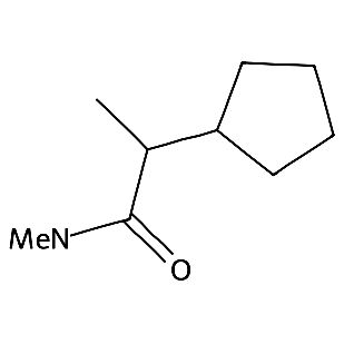 CNC(=O)C(C)C1CCCC1